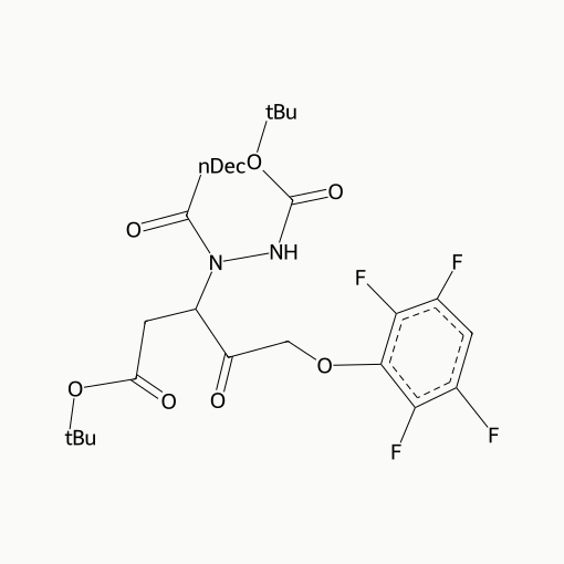 CCCCCCCCCCC(=O)N(NC(=O)OC(C)(C)C)C(CC(=O)OC(C)(C)C)C(=O)COc1c(F)c(F)cc(F)c1F